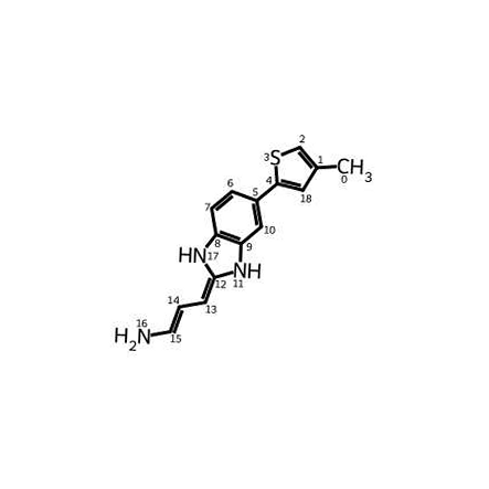 Cc1csc(-c2ccc3c(c2)N/C(=C/C=C/N)N3)c1